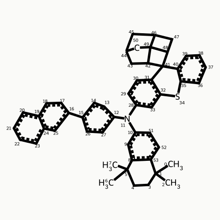 CC1(C)CCC(C)(C)c2cc(N(c3ccc(-c4ccc5ccccc5c4)cc3)c3ccc4c(c3)Sc3ccccc3C43C4CC5CC6CC3C64C5)ccc21